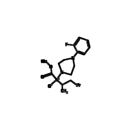 CC(C)CC(C)[N+]([O-])(C(=O)OC(C)(C)C)N1CCN(c2ccccc2F)CC1